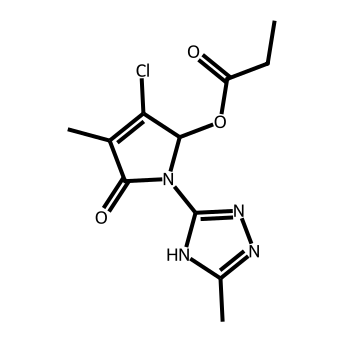 CCC(=O)OC1C(Cl)=C(C)C(=O)N1c1nnc(C)[nH]1